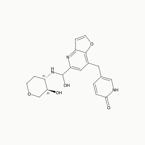 O=c1ccc(Cc2cc(C(O)N[C@H]3CCOC[C@@H]3O)nc3ccoc23)c[nH]1